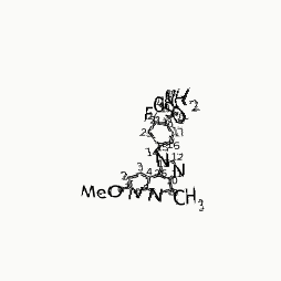 COc1ccc2c(n1)nc(C)c1ncn(Cc3ccc(S(N)(=O)=O)c(F)c3)c12